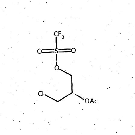 CC(=O)O[C@H](CCl)COS(=O)(=O)C(F)(F)F